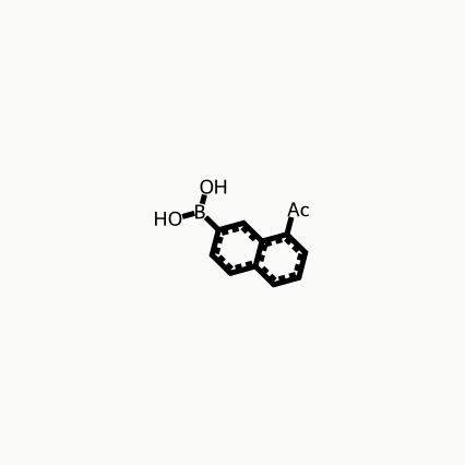 CC(=O)c1cccc2ccc(B(O)O)cc12